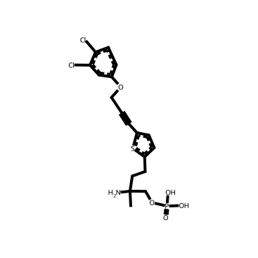 CC(N)(CCc1ccc(C#CCOc2ccc(Cl)c(Cl)c2)s1)COP(=O)(O)O